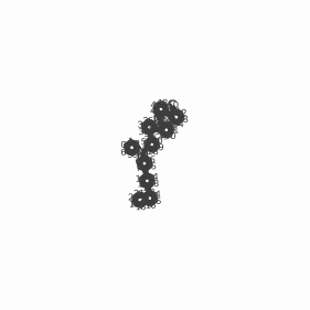 c1ccc(N(c2ccc(-c3ccc(-c4cccc5ccccc45)cc3)cc2)c2cccc(-c3cccc4c3c3ccccc3n4-c3cccc4sc5ccccc5c34)c2)cc1